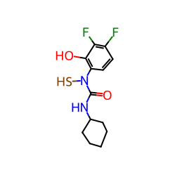 O=C(NC1CCCCC1)N(S)c1ccc(F)c(F)c1O